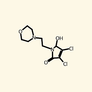 O=C1C(Cl)=C(Cl)C(O)N1CCN1CCOCC1